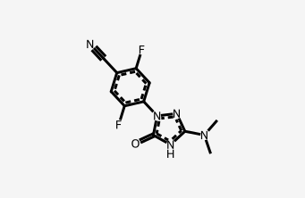 CN(C)c1nn(-c2cc(F)c(C#N)cc2F)c(=O)[nH]1